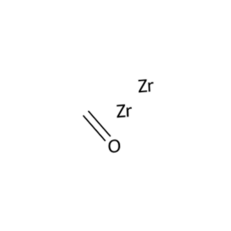 C=O.[Zr].[Zr]